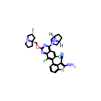 N#Cc1c(N)sc2cccc(-c3c(Cl)cc4c(N5C[C@H]6CC[C@@H](C5)N6)nc(OC[C@@]56CCCN5C[C@H](F)C6)nc4c3F)c12